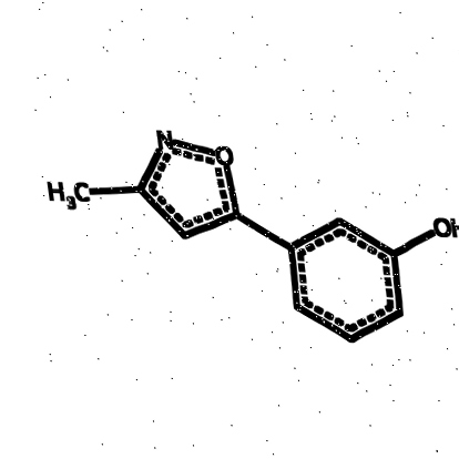 Cc1cc(-c2cccc(O)c2)on1